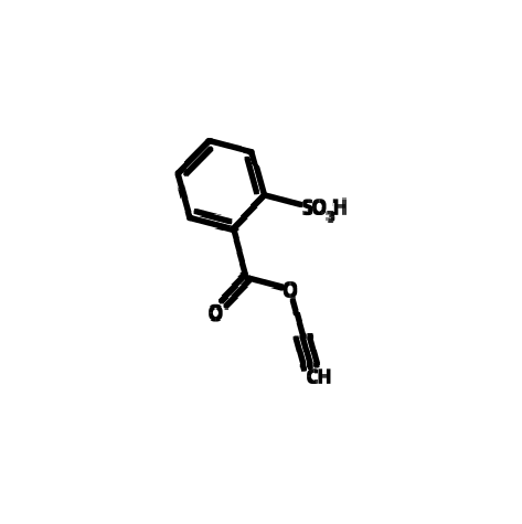 C#COC(=O)c1ccccc1S(=O)(=O)O